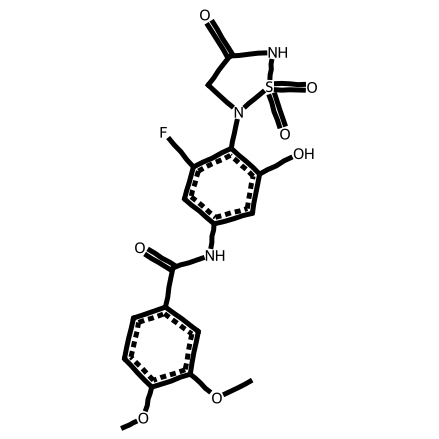 COc1ccc(C(=O)Nc2cc(O)c(N3CC(=O)NS3(=O)=O)c(F)c2)cc1OC